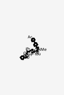 CN[C@H](C(=O)N[C@H](C(=O)N(C)[C@H](C=C(C)C(=O)NS(=O)(=O)Cc1ccccc1)C(C)C)C(C)(C)C)C(C)(C)c1ccc(-c2ccc(C(C)=O)cc2)cc1